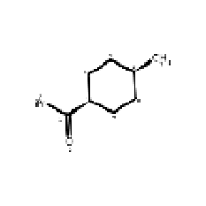 CC(C)C(=O)[C@H]1CC[C@@H](C)CC1